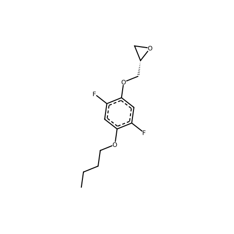 CCCCOc1cc(F)c(OC[C@@H]2CO2)cc1F